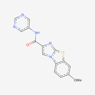 COc1ccc2c(c1)sc1nc(C(=O)Nc3cncnc3)cn12